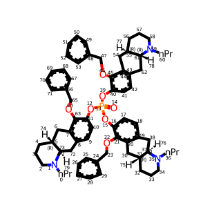 CCCN1CCC[C@@H]2Cc3c(ccc(OP(=O)(Oc4ccc5c(c4OCc4ccccc4)C[C@H]4CCCN(CCC)[C@@H]4C5)Oc4ccc5c(c4OCc4ccccc4)C[C@H]4CCCN(CCC)[C@@H]4C5)c3OCc3ccccc3)C[C@H]21